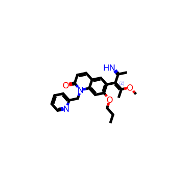 CCCOc1cc2c(ccc(=O)n2Cc2ccccn2)cc1/C(C(C)=N)=C(\C)OC